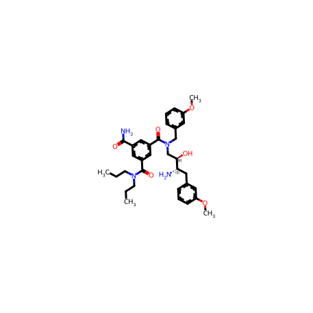 CCCN(CCC)C(=O)c1cc(C(N)=O)cc(C(=O)N(Cc2cccc(OC)c2)C[C@@H](O)[C@@H](N)Cc2cccc(OC)c2)c1